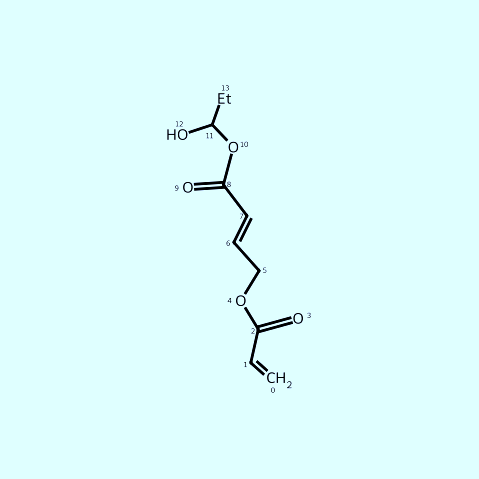 C=CC(=O)OCC=CC(=O)OC(O)CC